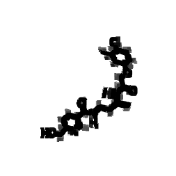 C=C(CCNC(=O)c1ccc(CO)nc1)NC(=O)COc1ccc(Cl)c(C)c1